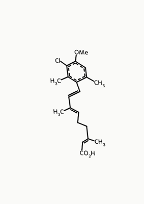 COc1cc(C)c(C=CC(C)=CCCC(C)=CC(=O)O)c(C)c1Cl